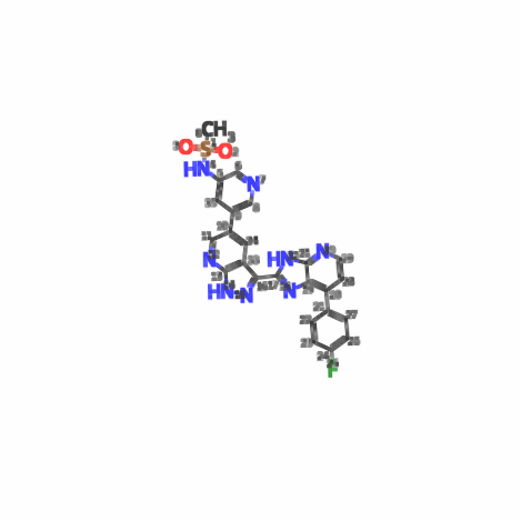 CS(=O)(=O)Nc1cncc(-c2cnc3[nH]nc(-c4nc5c(-c6ccc(F)cc6)ccnc5[nH]4)c3c2)c1